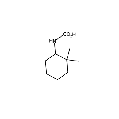 CC1(C)CCCCC1NC(=O)O